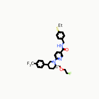 CCSc1ccc(CNC(=O)c2ccc(N3CC(c4ccc(C(F)(F)F)cc4)CC[C@H]3COCCF)nc2)cc1